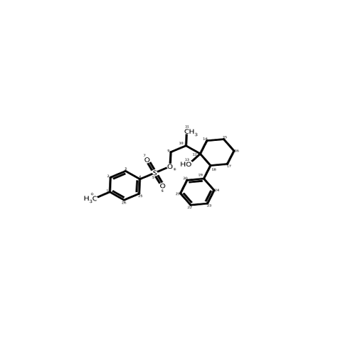 Cc1ccc(S(=O)(=O)OCC(C)C2(O)CCCCC2c2ccccc2)cc1